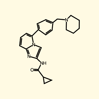 O=C(Nc1cn2c(-c3ccc(CN4CCCCC4)cc3)cccc2n1)C1CC1